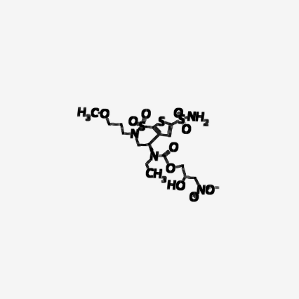 CCN(C(=O)OCC(O)C[N+](=O)[O-])[C@H]1CN(CCCOC)S(=O)(=O)c2sc(S(N)(=O)=O)cc21